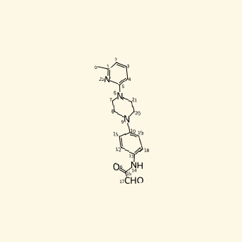 Cc1cccc(N2CCN(c3ccc(NC(=O)C=O)cc3)CC2)n1